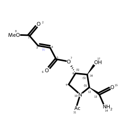 COC(=O)/C=C/C(=O)O[C@H]1CN(C(C)=O)[C@H](C(N)=O)[C@@H]1O